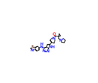 O=C(N1CC=C(c2cc3c(Nc4ccc5ncsc5c4)ncnc3[nH]2)CC1)C1(CN2CCCC2)CC1